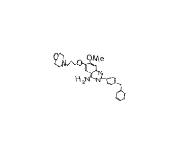 COc1cc2nc(-c3ccc(Cc4ccccc4)cc3)nc(N)c2cc1OCCCN1CCOCC1